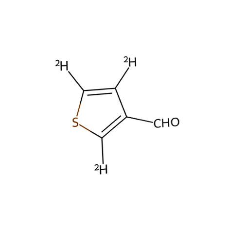 [2H]c1sc([2H])c(C=O)c1[2H]